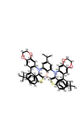 CC(C)c1cc2c3c(c1)N(c1cc4c(cc1-c1ccccc1)OCCO4)c1c(sc4ccc(C(C)(C)C)cc14)B3c1sc3ccc(C(C)(C)C)cc3c1N2c1cc2c(cc1-c1ccccc1)OCCO2